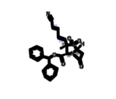 C[C@]1(/C=C/C=C/C#N)[C@H](C(=O)OC(c2ccccc2)c2ccccc2)N2C(=O)C[C@H]2S1(=O)=O